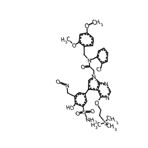 COc1ccc(CN(C(=O)Cn2cc(-c3cc(CN=O)c(O)c(S(N)(=O)=O)c3)c3c(OCCS(C)(C)C)ncnc32)c2ccccc2Cl)c(OC)c1